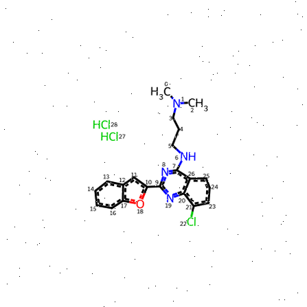 CN(C)CCCNc1nc(-c2cc3ccccc3o2)nc2c(Cl)cccc12.Cl.Cl